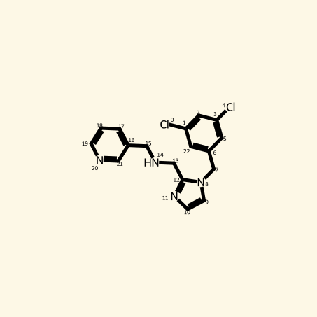 Clc1cc(Cl)cc(Cn2ccnc2CNCc2cccnc2)c1